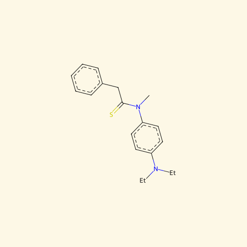 CCN(CC)c1ccc(N(C)C(=S)Cc2ccccc2)cc1